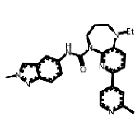 CCN1CCCN(C(=O)Nc2ccc3nn(C)cc3c2)c2nc(-c3ccnc(C)c3)ccc21